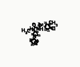 CCN(C(=O)N[C@H]1C[C@@H]1c1ccc(Cl)c(C)c1)[C@H]1CCN(c2cccnn2)C1